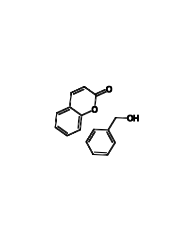 O=c1ccc2ccccc2o1.OCc1ccccc1